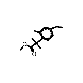 CCc1ccc(C(C)(C)C(=O)OC)c(C)c1